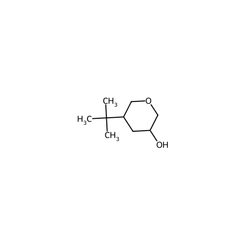 CC(C)(C)C1COCC(O)C1